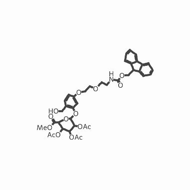 COC(=O)C1OC(Oc2cc(OCCOCCNC(=O)OCC3c4ccccc4-c4ccccc43)ccc2CO)C(OC(C)=O)C(OC(C)=O)C1OC(C)=O